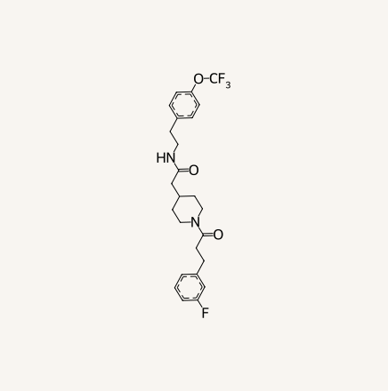 O=C(CC1CCN(C(=O)CCc2cccc(F)c2)CC1)NCCc1ccc(OC(F)(F)F)cc1